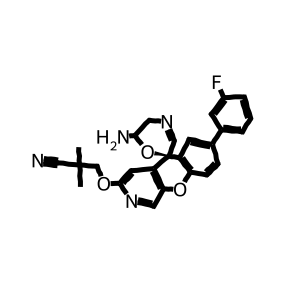 CC(C)(C#N)COc1cc2c(cn1)Oc1ccc(-c3cccc(F)c3)cc1[C@@]21C=NCC(N)O1